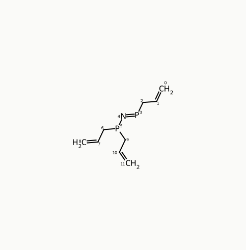 C=CCP=NP(CC=C)CC=C